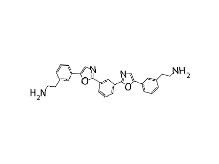 NCCc1cccc(-c2cnc(-c3cccc(-c4ncc(-c5cccc(CCN)c5)o4)c3)o2)c1